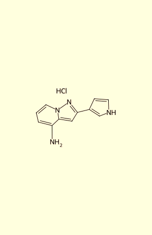 Cl.Nc1cccn2nc(-c3cc[nH]c3)cc12